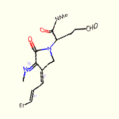 CC/C=C/C=C1/CN(C(CCC=O)C(=O)NC)C(=O)/C1=N/C